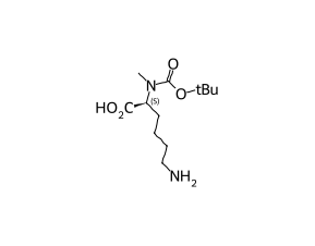 CN(C(=O)OC(C)(C)C)[C@@H](CCCCN)C(=O)O